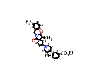 CCOC(=O)c1cccc([C@@H]2CCN([C@@H]3CC[C@@]4(C3)C(=O)N3Cc5cc(C(F)(F)F)ccc5OC3C4C)C[C@H]2C)c1